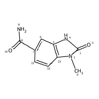 Cn1c(=O)[nH]c2cc(C(N)=O)ccc21